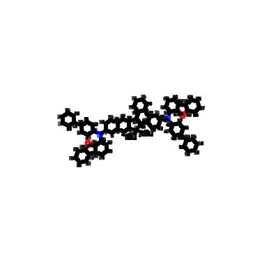 CC(C)(C)C1(C(C)(C)C)c2cc3cc(N(c4ccc(-c5ccccc5)cc4)c4cccc5c4oc4ccccc45)ccc3cc2-c2c1c1ccc(N(c3ccc(-c4ccccc4)cc3)c3cccc4c3oc3ccccc34)cc1c1ccccc21